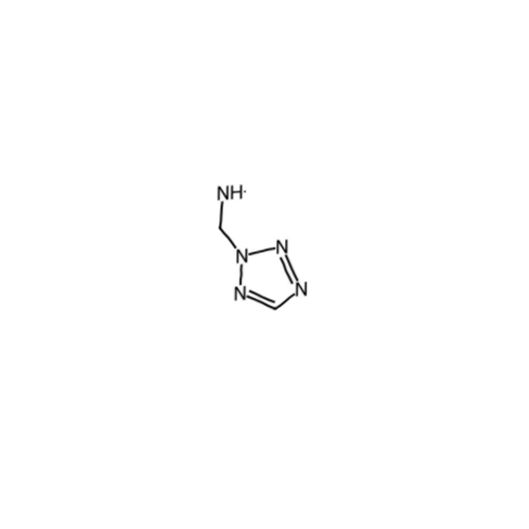 [NH]Cn1ncnn1